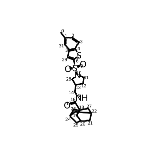 Cc1ccc2sc(S(=O)(=O)N3CCC(CNC(=O)C45CC6CC(CC(C6)C4)C5)C3)cc2c1